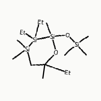 CCC1(C)C[Si](C)(C)[Si](CC)(CC)[Si](C)(O[Si](C)(C)C)O1